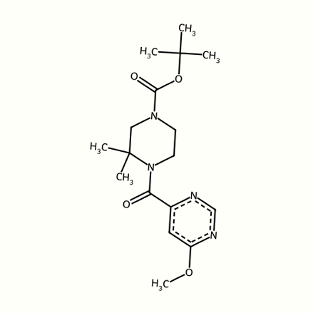 COc1cc(C(=O)N2CCN(C(=O)OC(C)(C)C)CC2(C)C)ncn1